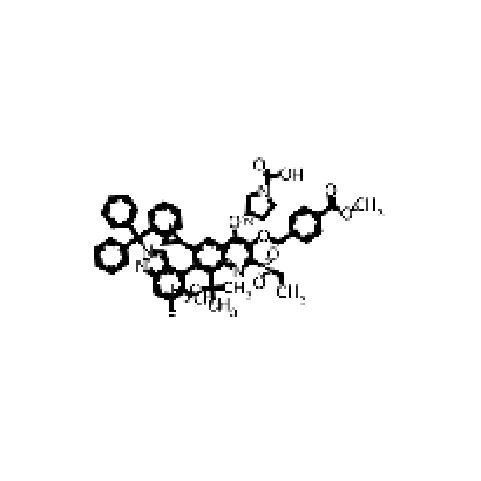 CCS(=O)(=O)c1nc2c(C(C)(C)C)c(-c3c(C)c(F)cc4nn(C(c5ccccc5)(c5ccccc5)c5ccccc5)cc34)c(C3CC3)cc2c(O[C@H]2CCN(C(=O)O)C2)c1OCc1ccc(C(=O)OC)cc1